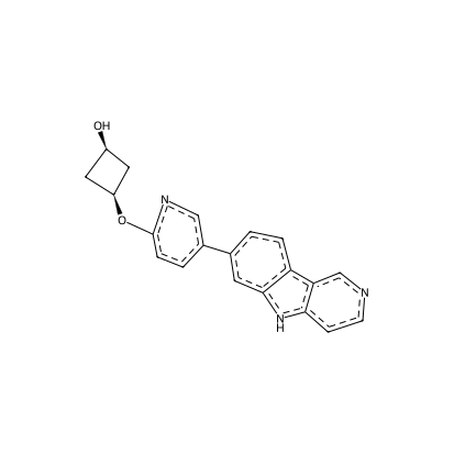 O[C@H]1C[C@@H](Oc2ccc(-c3ccc4c(c3)[nH]c3ccncc34)cn2)C1